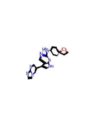 c1cn2cc(-c3c[nH]c4nc(N[C@H]5CC[C@]6(CCO6)CC5)ncc34)cnc2n1